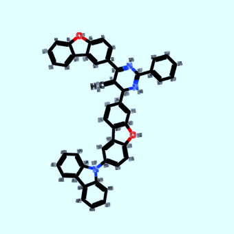 C=C1C(c2ccc3oc4ccccc4c3c2)=NC(c2ccccc2)=NC1c1ccc2c(c1)oc1ccc(-n3c4ccccc4c4ccccc43)cc12